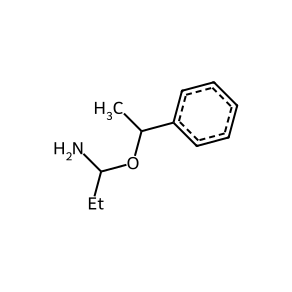 CCC(N)OC(C)c1ccccc1